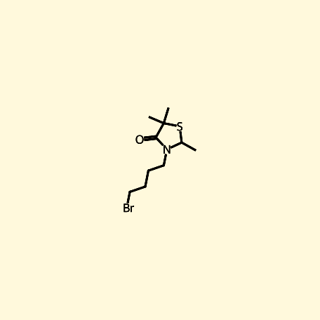 CC1SC(C)(C)C(=O)N1CCCCBr